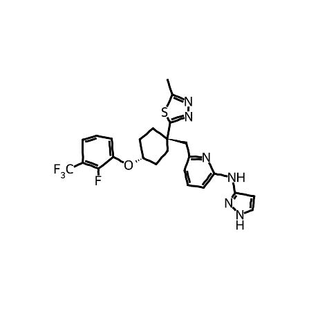 Cc1nnc([C@]2(Cc3cccc(Nc4cc[nH]n4)n3)CC[C@H](Oc3cccc(C(F)(F)F)c3F)CC2)s1